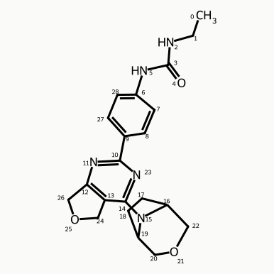 CCNC(=O)Nc1ccc(-c2nc3c(c(N4C5CCC4COC5)n2)COC3)cc1